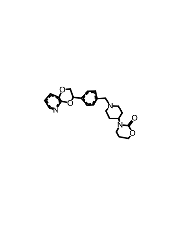 O=C1OCCCN1C1CCN(Cc2ccc(C3COc4cccnc4O3)cc2)CC1